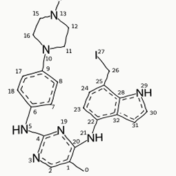 Cc1cnc(Nc2ccc(N3CCN(C)CC3)cc2)nc1Nc1ccc(CI)c2[nH]ccc12